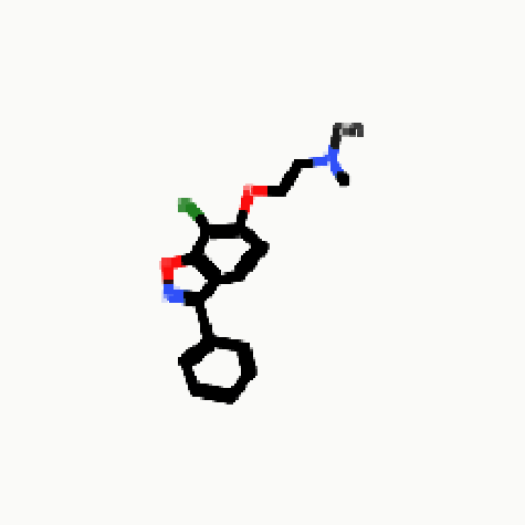 CN(C=O)CCOc1ccc2c(-c3ccccc3)noc2c1Cl